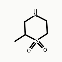 CC1CNCCS1(=O)=O